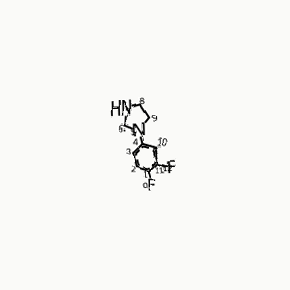 Fc1ccc(N2[CH]NCC2)cc1F